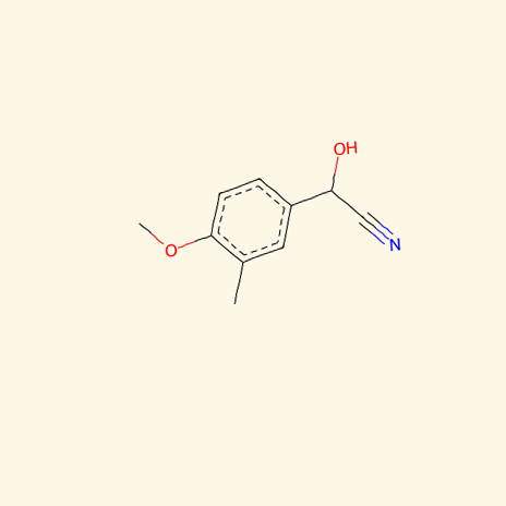 COc1ccc(C(O)C#N)cc1C